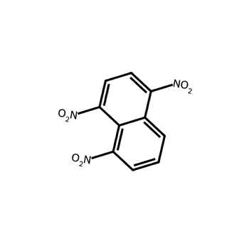 O=[N+]([O-])c1ccc([N+](=O)[O-])c2c([N+](=O)[O-])cccc12